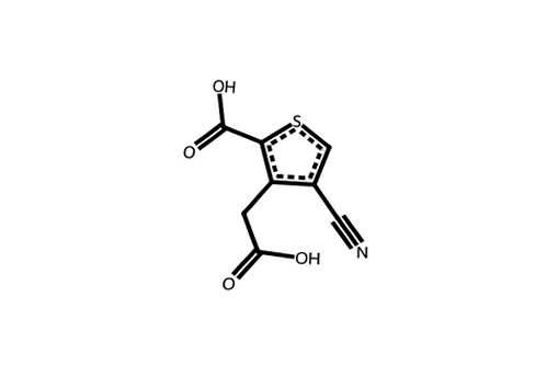 N#Cc1csc(C(=O)O)c1CC(=O)O